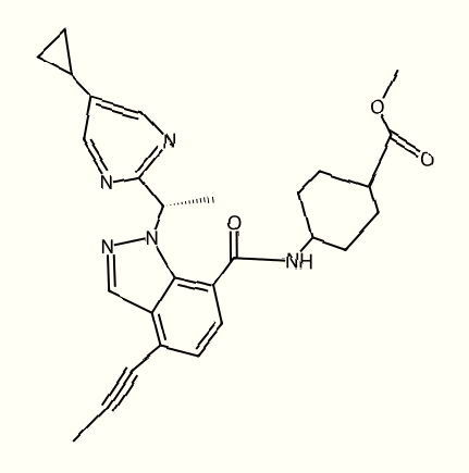 CC#Cc1ccc(C(=O)NC2CCC(C(=O)OC)CC2)c2c1cnn2[C@@H](C)c1ncc(C2CC2)cn1